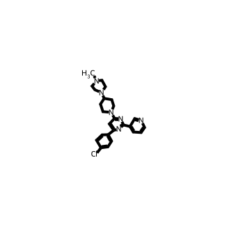 CN1CCN(C2CCN(c3cc(-c4ccc(Cl)cc4)nc(-c4cccnc4)n3)CC2)CC1